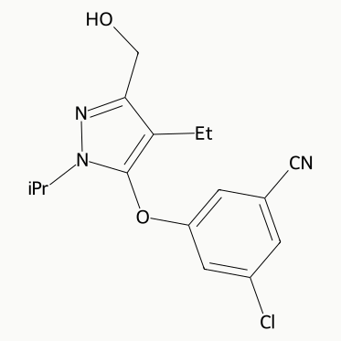 CCc1c(CO)nn(C(C)C)c1Oc1cc(Cl)cc(C#N)c1